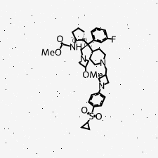 COC(=O)N[C@H]1CCC[C@@H]1[C@](CN1CC(OC)C1)(c1cccc(F)c1)C1CCN(CC2CN(c3ccc(S(=O)(=O)C4CC4)cc3)C2)CC1